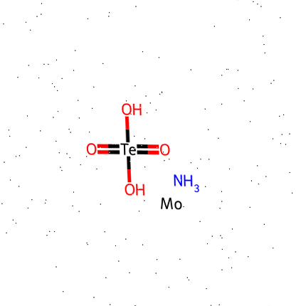 N.O=[Te](=O)(O)O.[Mo]